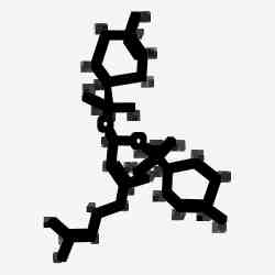 CC(C)=CCC/C(C)=C/C(OC(C)(C)[C@@H]1CC=C(C)CC1)OC(C)(C)[C@@H]1CC=C(C)CC1